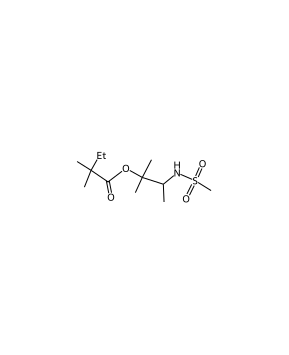 CCC(C)(C)C(=O)OC(C)(C)C(C)NS(C)(=O)=O